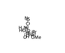 COC(=O)N[C@H](C(=O)N[C@@H](Cc1ccccc1)[C@@H](O)CN(N)Cc1ccc(-c2cncs2)cc1)C(C)C